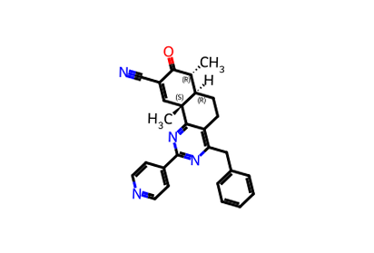 C[C@H]1C(=O)C(C#N)=C[C@@]2(C)c3nc(-c4ccncc4)nc(Cc4ccccc4)c3CC[C@H]12